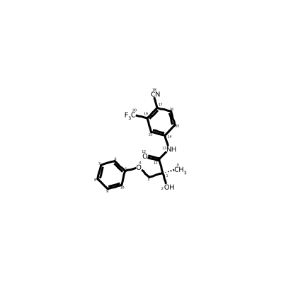 C[C@](O)(COc1ccccc1)C(=O)Nc1ccc(C#N)c(C(F)(F)F)c1